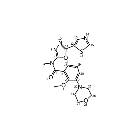 COc1c(C(=O)N(C)c2nnc(-c3cncs3)o2)cccc1N1CCOCC1